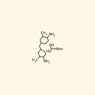 CC1CC(CC2CCC(N)C(C)C2)CCC1N.CCCCCCCCCC(O)O